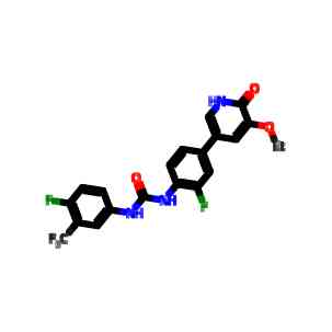 CCOc1cc(-c2ccc(NC(=O)Nc3ccc(F)c(C(F)(F)F)c3)c(F)c2)c[nH]c1=O